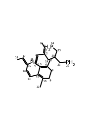 C/C=C(\C=C/C1=C(C)CCC(C)=C1/C=C\C(P)=C/C)CC(CP)CP